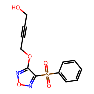 O=S(=O)(c1ccccc1)c1nonc1OCC#CCO